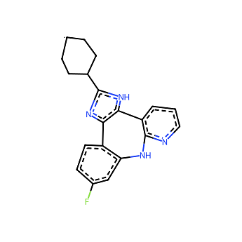 Fc1ccc2c(c1)Nc1ncccc1-c1[nH]c(C3CC[CH]CC3)nc1-2